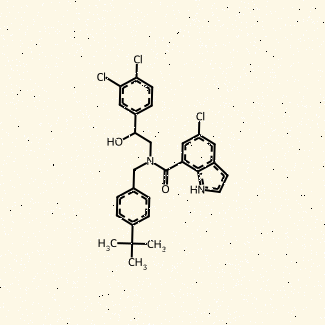 CC(C)(C)c1ccc(CN(CC(O)c2ccc(Cl)c(Cl)c2)C(=O)c2cc(Cl)cc3cc[nH]c23)cc1